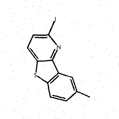 Cc1ccc2sc3ccc(I)nc3c2c1